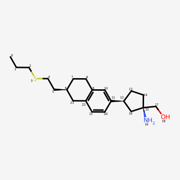 CCCSCC[C@H]1CCc2cc([C@H]3CC[C@](N)(CO)C3)ccc2C1